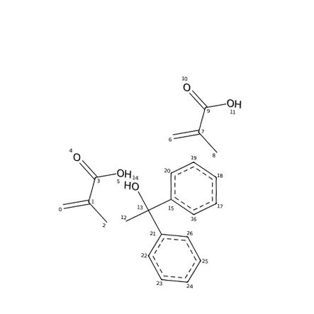 C=C(C)C(=O)O.C=C(C)C(=O)O.CC(O)(c1ccccc1)c1ccccc1